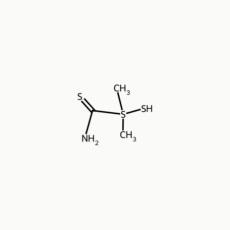 CS(C)(S)C(N)=S